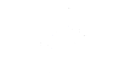 CCCCc1ccc(N(c2ccc(CCCC)cc2)c2ccc3c(c2)-c2cc(-c4ccccc4C)cc4c2B(c2cccc5c2N4c2cc4c(cc2C5(c2ccccc2)c2ccccc2)C(C)(C)CCC4(C)C)N3c2ccccc2)cc1